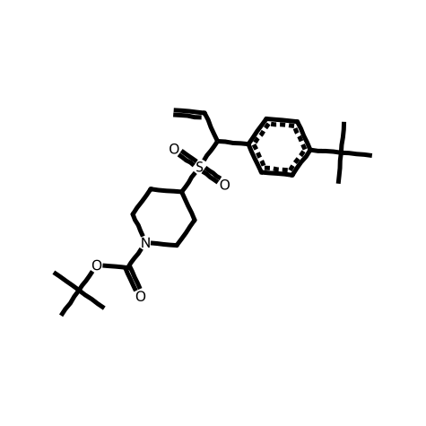 C=CC(c1ccc(C(C)(C)C)cc1)S(=O)(=O)C1CCN(C(=O)OC(C)(C)C)CC1